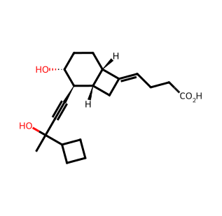 CC(O)(C#C[C@@H]1[C@H]2C/C(=C\CCC(=O)O)[C@H]2CC[C@H]1O)C1CCC1